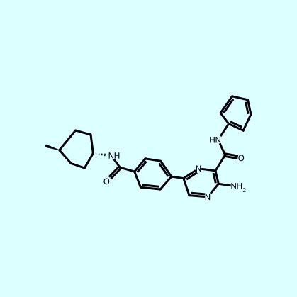 C[C@H]1CC[C@H](NC(=O)c2ccc(-c3cnc(N)c(C(=O)Nc4ccccc4)n3)cc2)CC1